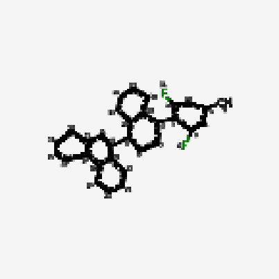 N#Cc1cc(F)c(-c2ccc(-c3cc4ccccc4c4ccccc34)c3ccccc23)c(F)c1